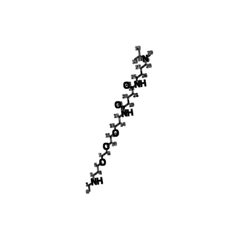 CCNCCCOCCOCCOCCCNC(=O)CCCC(=O)NCCCCN(C)C(C)C